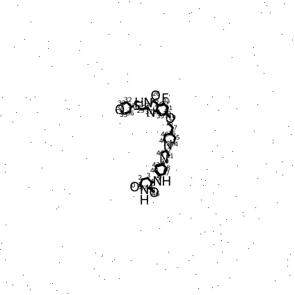 O=C1CCC(Nc2ccc(N3CC(N4CCC(CCOc5cc(F)c6c(=O)[nH]c(CSC7CCOCC7)nc6c5)CC4)C3)cc2)C(=O)N1